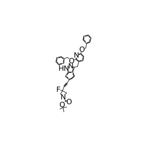 CC(C)(C)OC(=O)N1CC(F)(C#Cc2ccc3c(Cc4ccc(OCc5ccccc5)nc4OCc4ccccc4)n[nH]c3c2)C1